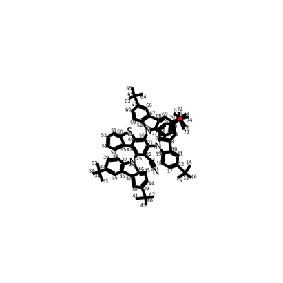 CC(C)(C)c1ccc2c(c1)c1cc(C(C)(C)C)ccc1n2-c1c(C#N)c(-n2c3ccc(C(C)(C)C)cc3c3cc(C(C)(C)C)ccc32)c2c(sc3ccccc32)c1-n1c2ccc(C(C)(C)C)cc2c2cc(C(C)(C)C)ccc21